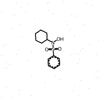 O=S(=O)(c1ccccc1)N(O)C1CCCCC1